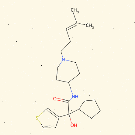 CC(C)=CCCN1CCC(NC(=O)C(O)(c2ccsc2)C2CCCC2)CC1